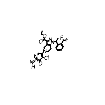 CCOC(=O)c1nn(C(C)c2ccccc2C(F)F)c2c1CN(c1cnn(PI)c(=O)c1Cl)CC2